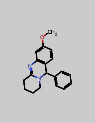 COc1ccc2c(c1)N=C1CCCCN1C2c1ccccc1